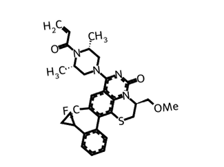 C=CC(=O)N1[C@H](C)CN(c2nc(=O)n3c4c(c(-c5ccccc5C5CC5)c(C(F)(F)F)cc24)SC[C@@H]3COC)C[C@@H]1C